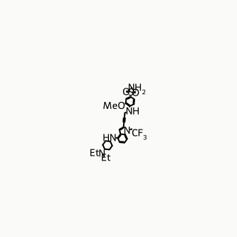 CCN(CC)[C@H]1CC[C@@H](Nc2cccc3c2cc(C#CCNc2ccc(S(N)(=O)=O)cc2OC)n3CC(F)(F)F)CC1